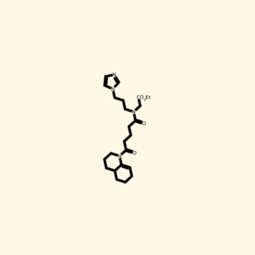 CCOC(=O)CN(CCCn1ccnc1)C(=O)CCCC(=O)N1CCCC2CCCC=C21